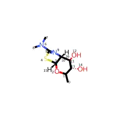 CC1O[C@@H]2SC(N(C)C)=N[C@@H]2[C@@H](O)[C@@H]1O